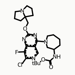 CC(C)(C)OC(=O)NC1CCCCN(c2nc(OCC34CCCN3CCC4)nc3c(F)c(Cl)ncc23)C1